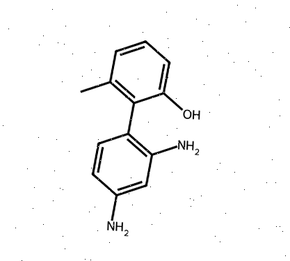 Cc1cccc(O)c1-c1ccc(N)cc1N